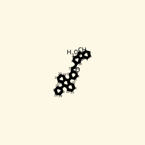 CC1(C)c2ccccc2-c2cc(-c3cc4cc(-c5c6ccccc6c(-c6ccccc6)c6ccccc56)ccc4o3)ccc21